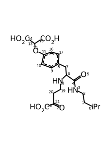 CC(C)CCNC(=O)C(Cc1ccc(OC(C(=O)O)C(=O)O)cc1)NCCC(=O)C(=O)O